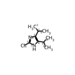 CC(C)c1nc(Cl)[nH]c1C(C)C